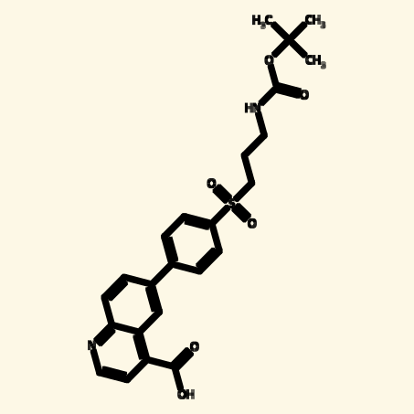 CC(C)(C)OC(=O)NCCCS(=O)(=O)c1ccc(-c2ccc3nccc(C(=O)O)c3c2)cc1